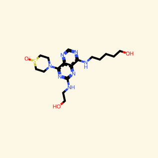 [O-][S+]1CCN(c2nc(NCCO)nc3c(NCCCCCO)ncnc23)CC1